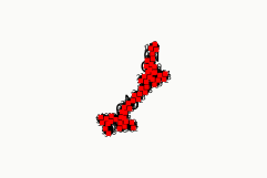 c1ccc(-c2nc3cc4c(cc3o2)oc2cc(N(c3cccc5c3sc3ccc(-c6ccc(-c7nc8cc9oc%10cc(N(c%11ccc%12c%13ccccc%13n(-c%13ccccc%13)c%12c%11)c%11cccc%12c%11sc%11ccccc%11%12)ccc%10c9cc8o7)cc6)cc35)c3cccc5c6ccccc6n(-c6ccccc6)c35)ccc24)cc1